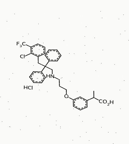 CC(C(=O)O)c1cccc(OCCCNCC(Cc2cccc(C(F)(F)F)c2Cl)(c2ccccc2)c2ccccc2)c1.Cl